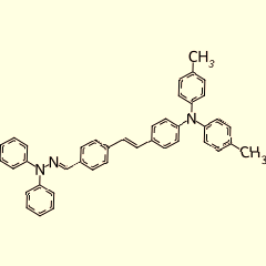 Cc1ccc(N(c2ccc(C)cc2)c2ccc(C=Cc3ccc(C=NN(c4ccccc4)c4ccccc4)cc3)cc2)cc1